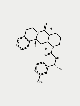 CC(C)COc1cccc([C@@H](C)NC(=O)N2CCC[C@@H]3C(=O)N4CCc5ccccc5[C@H]4C[C@@H]32)c1